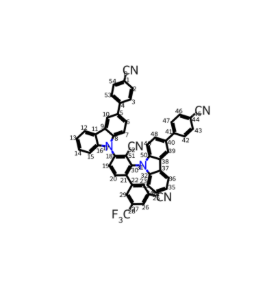 N#Cc1ccc(-c2ccc3c(c2)c2ccccc2n3-c2ccc(-c3cc(C#N)cc(C(F)(F)F)c3)c(-n3c4ccccc4c4cc(-c5ccc(C#N)cc5)ccc43)c2C#N)cc1